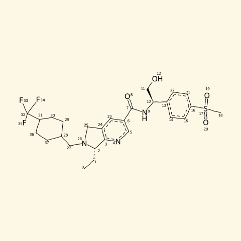 CC[C@H]1c2ncc(C(=O)N[C@@H](CO)c3ccc(S(C)(=O)=O)cc3)cc2CN1CC1CCC(C(F)(F)F)CC1